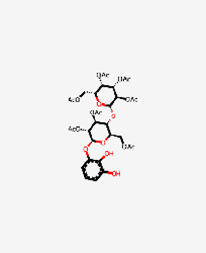 CC(=O)OC[C@H]1O[C@@H](O[C@H]2[C@H](OC(C)=O)[C@@H](OC(C)=O)[C@H](Oc3cccc(O)c3O)O[C@@H]2COC(C)=O)[C@H](OC(C)=O)[C@@H](OC(C)=O)[C@H]1OC(C)=O